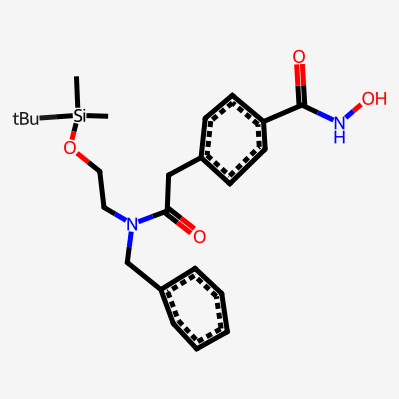 CC(C)(C)[Si](C)(C)OCCN(Cc1ccccc1)C(=O)Cc1ccc(C(=O)NO)cc1